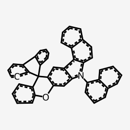 c1ccc2c(c1)Oc1cc3c(cc1C21c2ccccc2-c2ccccc21)c1c2ccccc2ccc1n3-c1cccc2ccccc12